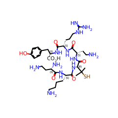 CC(C)(S)[C@H](NC(=O)[C@H](CCCCN)NC(=O)[C@@H](N)CCN)C(=O)N[C@@H](CCN)C(=O)N[C@@H](CCCNC(=N)N)C(=O)N[C@@H](Cc1ccc(O)cc1)C(=O)O